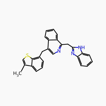 Cc1csc2c(Cc3cnc(Cc4nc5ccccc5[nH]4)c4ccccc34)cccc12